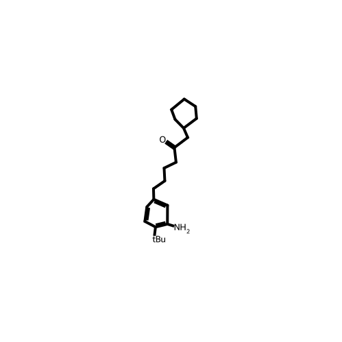 CC(C)(C)c1ccc(CCCCC(=O)CC2CCCCC2)cc1N